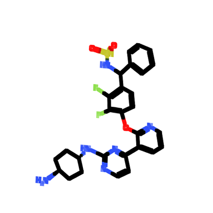 N[C@H]1CC[C@H](Nc2nccc(-c3cccnc3Oc3ccc(C(N[SH](=O)=O)c4ccccc4)c(F)c3F)n2)CC1